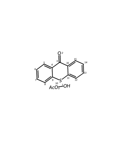 CC(=O)OO.O=c1c2ccccc2sc2ccccc12